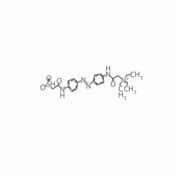 CC[N+](CC)(CC)CC(=O)Nc1ccc(/N=N/c2ccc(NC(=O)C[SH](=O)=O)cc2)cc1